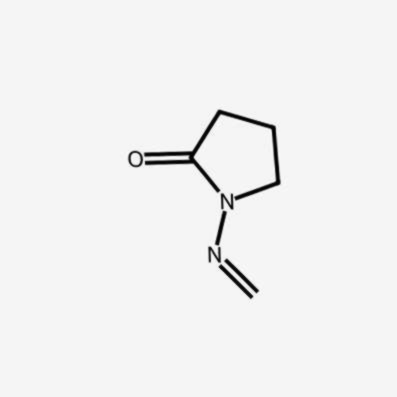 C=NN1CCCC1=O